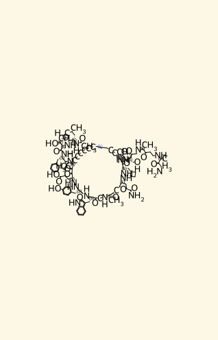 CC(=O)N[C@@H](CC(C)C)C(=O)N[C@H](C(=O)N[C@@H](Cc1ccccc1)C(=O)N[C@]1(C)CCCCCC/C=C/CCC[C@@](C)(C(=O)N[C@@H](CO)C(=O)CN[C@@H](C)C(=O)CCN[C@@H](C)C(=O)CN)NC(=O)[C@H](CC2CCC2)NN[C@@H](CCC(N)=O)C(=O)CC(=O)[C@H](C)NCC(=O)[C@H](Cc2c[nH]c3ccccc23)NC(=O)[C@H](Cc2ccc(O)cc2)NN[C@@H](CCC(=O)O)C(=O)C1=O)[C@@H](C)O